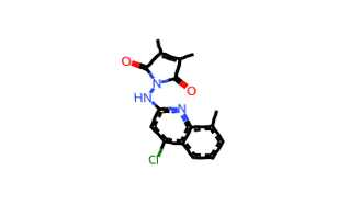 CC1=C(C)C(=O)N(Nc2cc(Cl)c3cccc(C)c3n2)C1=O